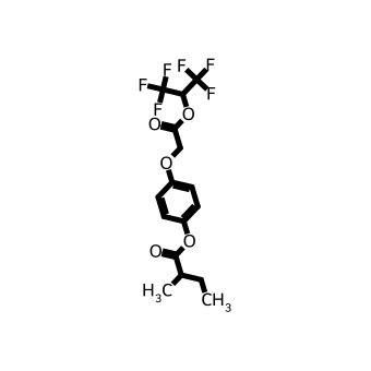 CCC(C)C(=O)Oc1ccc(OCC(=O)OC(C(F)(F)F)C(F)(F)F)cc1